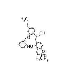 CCCc1ccc(C(CO)Cc2ccc3c(c2O)C=CC(C)(C)O3)c(OCc2ccccc2)c1